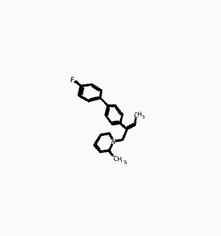 CC=C(CN1CCCCC1C)c1ccc(-c2ccc(F)cc2)cc1